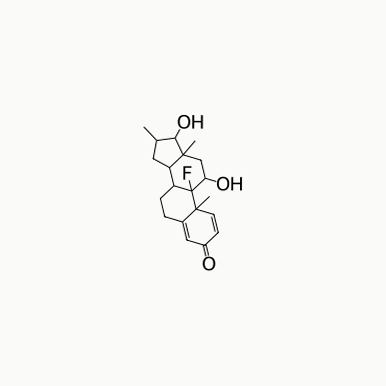 CC1CC2C3CCC4=CC(=O)C=CC4(C)C3(F)C(O)CC2(C)C1O